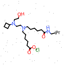 CC(C)CNC(=O)CCCCCN(CCCCCC(=O)OCl)CCN(CCO)C1CCC1